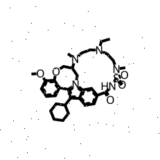 CCN1CCN(C)C2COc3c(OC)cccc3-c3c(C4CCCCC4)c4ccc(cc4n3C2)C(=O)NS(=O)(=O)N(C)CC1